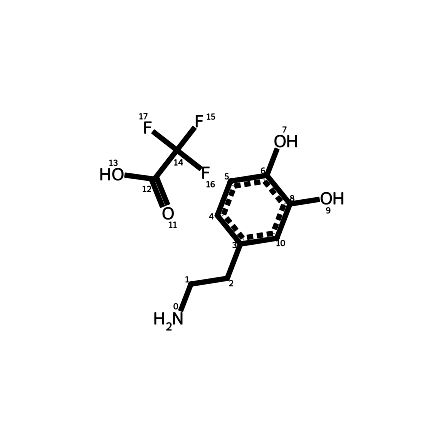 NCCc1ccc(O)c(O)c1.O=C(O)C(F)(F)F